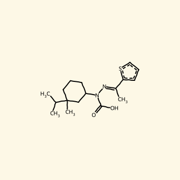 CC(=NN(C(=O)O)C1CCCC(C)(C(C)C)C1)c1cccs1